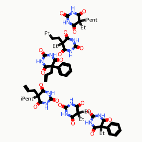 C=CCC1(C(C)CCC)C(=O)NC(=O)NC1=O.C=CCC1(c2ccccc2)C(=O)NC(=O)NC1=O.CCC(C)C1(CC)C(=O)NC(=O)NC1=O.CCC1(CCC(C)C)C(=O)NC(=O)NC1=O.CCC1(c2ccccc2)C(=O)NC(=O)NC1=O.CCCC(C)C1(CC)C(=O)NC(=O)NC1=O